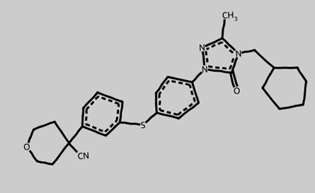 Cc1nn(-c2ccc(Sc3cccc(C4(C#N)CCOCC4)c3)cc2)c(=O)n1CC1CCCCC1